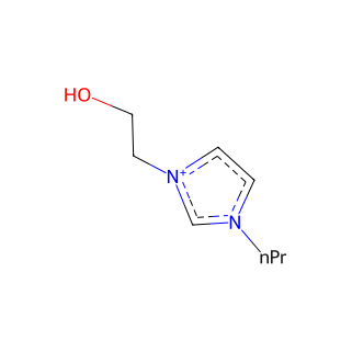 CCCn1cc[n+](CCO)c1